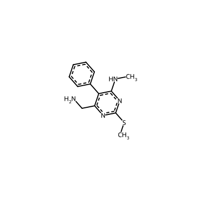 CNc1nc(SC)nc(CN)c1-c1ccccc1